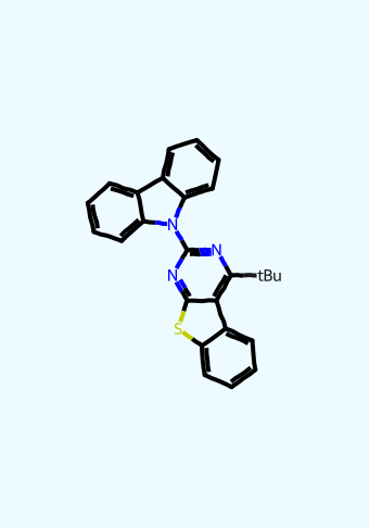 CC(C)(C)c1nc(-n2c3ccccc3c3ccccc32)nc2sc3ccccc3c12